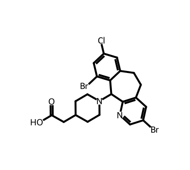 O=C(O)CC1CCN(C2c3ncc(Br)cc3CCc3cc(Cl)cc(Br)c32)CC1